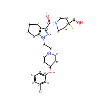 O=C(c1nn(CCN2CCC(Oc3cccc(Cl)c3)CC2)c2c1CCCC2)N1CCC(F)(CO)CC1